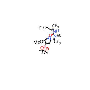 CCN(C(=O)N[C@@H](CCC(F)(F)F)C(F)(F)F)[C@@H](c1cc(B2OC(C)(C)C(C)(C)O2)c(OC)cn1)C(F)(F)F